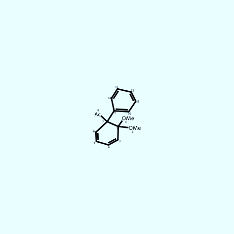 COC1(OC)C=CC=CC1(C(C)=O)c1ccccc1